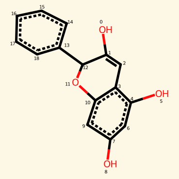 OC1=Cc2c(O)cc(O)cc2OC1c1ccccc1